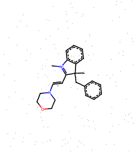 C[N+]1=C(/C=C/N2CCOCC2)C(C)(Cc2ccccc2)c2ccccc21